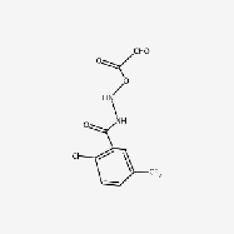 O=CC(=O)ONNC(=O)c1cc(C(F)(F)F)ccc1Cl